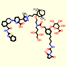 Cc1c(-c2ccc(N3CCc4cccc(C(=O)Nc5nc6ccccc6s5)c4C3)nc2C(=O)O)cnn1CCCC1(OCCN(CC[C@H](O)[C@H](O)CO)C(=O)OCc2ccc(CCCCNC(=O)CN3C(=O)C=CC3=O)cc2O[C@@H]2O[C@H](C(=O)O)[C@@H](O)[C@H](O)[C@H]2O)CC2(C)CCCC(C)(C2)C1